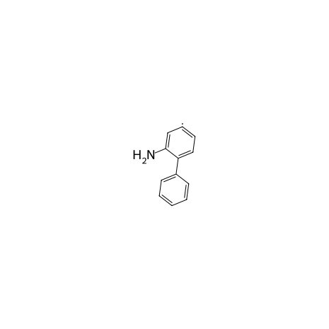 Nc1c[c]ccc1-c1ccccc1